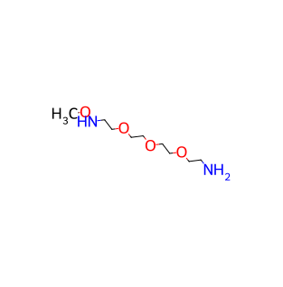 CONCCOCCOCCOCCN